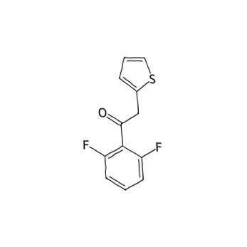 O=C(Cc1cccs1)c1c(F)cccc1F